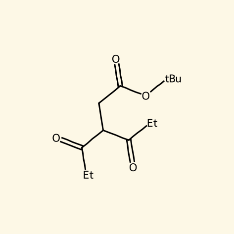 CCC(=O)C(CC(=O)OC(C)(C)C)C(=O)CC